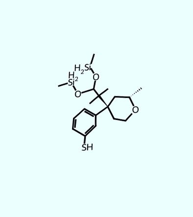 C[SiH2]OC(O[SiH2]C)C(C)(C)[C@]1(c2cccc(S)c2)CCO[C@@H](C)C1